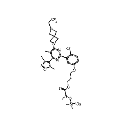 Cc1noc(C)c1-c1nc(-c2cc(OCCCOC(=O)N(C)O[Si](C)(C)C(C)(C)C)ccc2Cl)nc(N2CC3(CN(CC(F)(F)F)C3)C2)c1C